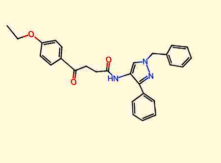 CCOc1ccc(C(=O)CCC(=O)Nc2cn(Cc3ccccc3)nc2-c2ccccc2)cc1